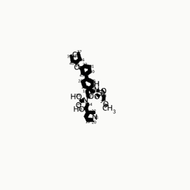 COCCS(=O)(=O)NC(=O)C1(CCN(C[C@H](O)c2cccnc2)C(=O)O)C=CC(c2cccc(OC3CCCCC3)c2)=CC1